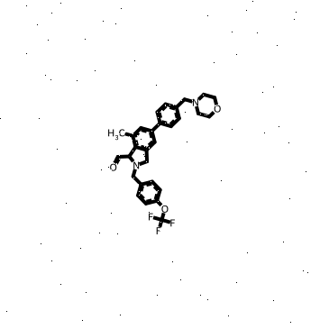 Cc1cc(-c2ccc(CN3CCOCC3)cc2)cc2c1C(C=O)N(Cc1ccc(OC(F)(F)F)cc1)C2